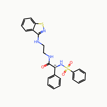 O=C(NCCNc1nsc2ccccc12)[C@@H](NS(=O)(=O)c1ccccc1)c1ccccc1